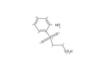 Cl.O=C(O)CCS(=O)(=O)c1ccccc1